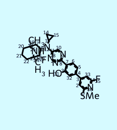 CSc1cc(-c2ccc(-c3ncc(N(C4CC4)[C@H]4C[C@]5(C)CCC[C@@](C)(N5)[C@H]4F)nn3)c(O)c2)cc(F)n1